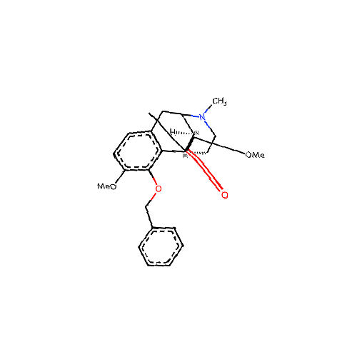 COc1ccc2c(c1OCc1ccccc1)[C@@]13CCN(C)C(C2)[C@H]1CC(OC)C(=O)C3